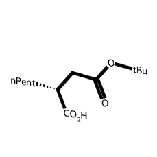 CCCCC[C@H](CC(=O)OC(C)(C)C)C(=O)O